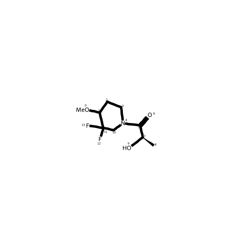 COC1CCN(C(=O)[C@@H](C)O)CC1(F)F